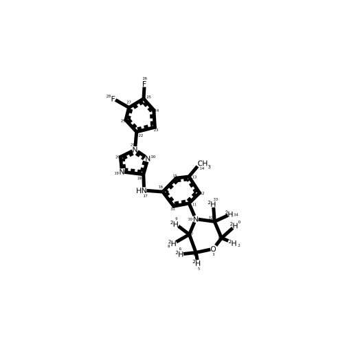 [2H]C1([2H])OC([2H])([2H])C([2H])([2H])N(c2cc(C)cc(Nc3ncn(-c4ccc(F)c(F)c4)n3)c2)C1([2H])[2H]